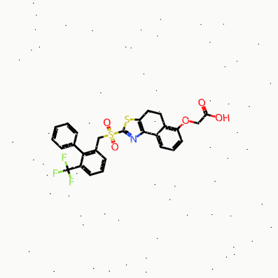 O=C(O)COc1cccc2c1CCc1sc(S(=O)(=O)Cc3cccc(C(F)(F)F)c3-c3ccccc3)nc1-2